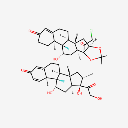 CC1(C)O[C@@H]2C[C@H]3[C@@H]4CCC5=CC(=O)CC[C@]5(C)[C@@]4(F)[C@@H](O)C[C@]3(C)[C@]2(C(=O)CCl)O1.C[C@H]1C[C@H]2[C@@H]3CCC4=CC(=O)C=C[C@]4(C)[C@@]3(F)[C@@H](O)C[C@]2(C)[C@@]1(O)C(=O)CO